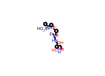 CCN(CCCNCC(O)c1ccc(O)c2[nH]c(=O)ccc12)C(=O)c1cccc(COc2cccc(C(NC(=O)O)c3ccccc3)c2)c1